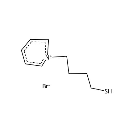 SCCCC[n+]1ccccc1.[Br-]